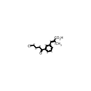 CC(=Cc1cccc(C(=O)CCCCl)c1)C(=O)O